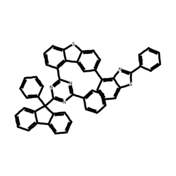 c1ccc(-c2nc(-c3cccc4sc5ccc(-c6cccc7sc(-c8ccccc8)nc67)cc5c34)nc(C3(c4ccccc4)c4ccccc4-c4ccccc43)n2)cc1